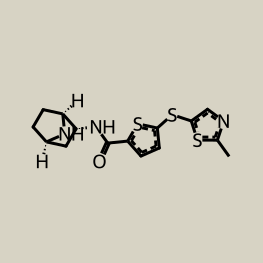 Cc1ncc(Sc2ccc(C(=O)N[C@@H]3C[C@H]4CC[C@@H]3N4)s2)s1